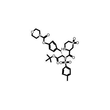 Cc1ccc(S(=O)(=O)N(C(=O)C2CS(=O)(=O)CCN2)[C@@H](Cc2ccc(OC(=O)N3CCOCC3)cc2)C(=O)OC(C)(C)C)cc1